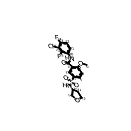 COc1ccc(S(=O)(=O)NC2CCOC2)cc1C(=O)Nc1ccc(F)c(Cl)c1F